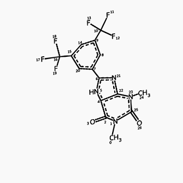 Cn1c(=O)c2[nH]c(-c3cc(C(F)(F)F)cc(C(F)(F)F)c3)nc2n(C)c1=O